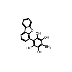 Bc1c(O)c(O)c(-c2cccc3c2oc2ccccc23)c(O)c1O